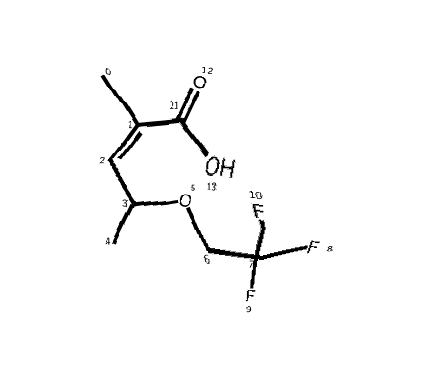 CC(=CC(C)OCC(F)(F)F)C(=O)O